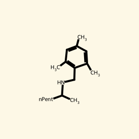 CCCCCC(C)NCc1c(C)cc(C)cc1C